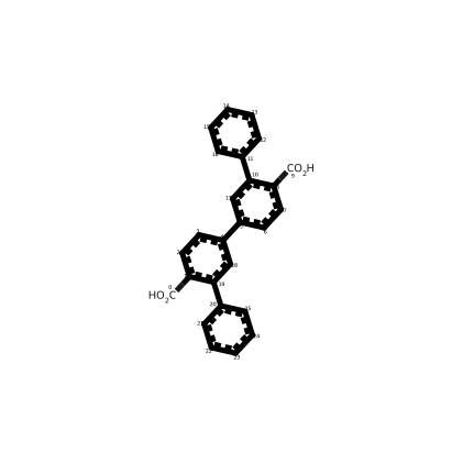 O=C(O)c1ccc(-c2ccc(C(=O)O)c(-c3ccccc3)c2)cc1-c1ccccc1